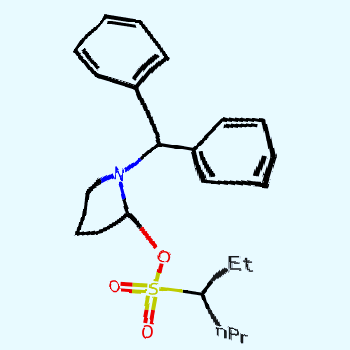 CCCC(CC)S(=O)(=O)OC1CCN1C(c1ccccc1)c1ccccc1